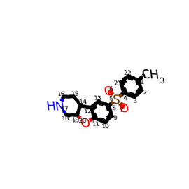 Cc1ccc(S(=O)(=O)c2ccc3c(c2)C2CCNCC2O3)cc1